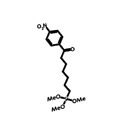 CO[Si](CCCCCCC(=O)c1ccc([N+](=O)[O-])cc1)(OC)OC